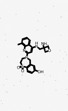 Cc1cccc2c(NCC3(N)COC3)cc(N3CCS(=O)(=O)c4ccc(O)cc4C3)nc12